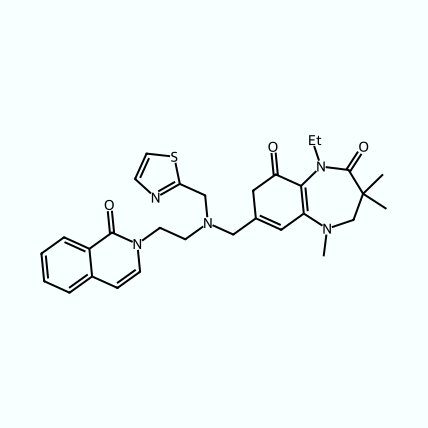 CCN1C(=O)C(C)(C)CN(C)C2=C1C(=O)CC(CN(CCn1ccc3ccccc3c1=O)Cc1nccs1)=C2